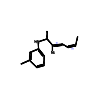 C/C=C\C=C(/CC)C(C)Nc1cccc(C)c1